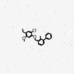 CCc1cc(Cl)c(OCc2cccc(-c3ccccc3)c2C)cc1OC